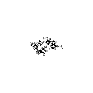 Nc1nc2c(nnn2[C@@H]2O[C@H](CO)C[C@H]2OP(O)(=S)OC[C@H]2OC[C@@](F)(n3cnc4c(N)ncnc43)[C@@H]2O)c(=O)[nH]1